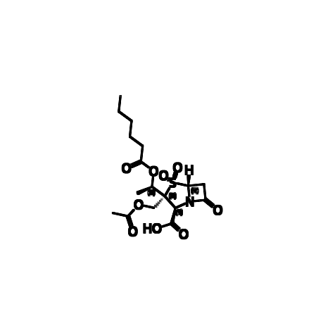 CCCCCC(=O)O[C@H](C)[C@]1(COC(C)=O)[C@H](C(=O)O)N2C(=O)C[C@H]2S1(=O)=O